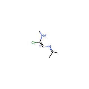 CN/C(Cl)=C\N=C(C)C